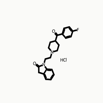 Cl.O=C(c1ccc(F)cc1)C1CCN(CCN2C(=O)Cc3ccccc32)CC1